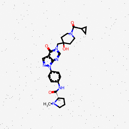 CN1CCC[C@H]1C(=O)Nc1ccc(-n2ncc3c(=O)n(CC4(O)CCN(C(=O)C5CC5)CC4)cnc32)cc1